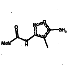 Bc1onc(NC(=O)NC)c1C